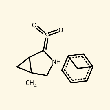 C.O=S(=O)=C1NCC2CC12.c1cc2cc(c1)C2